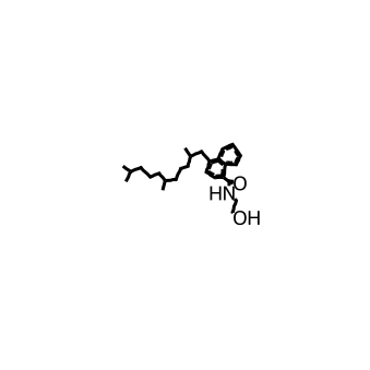 CC(C)CCCC(C)CCCC(C)Cc1ccc(C(=O)NCCO)c2ccccc12